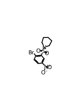 O=[N+]([O-])c1ccc(Br)c(S(=O)(=O)N2CCCCC2)c1